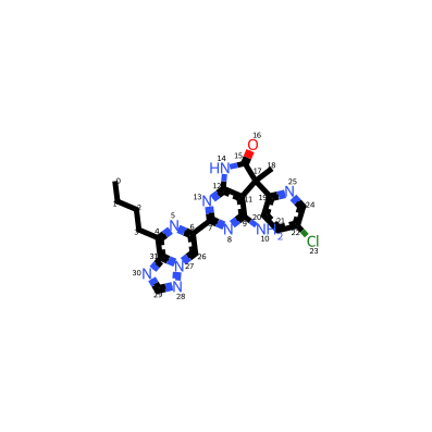 CCCCc1nc(-c2nc(N)c3c(n2)NC(=O)C3(C)c2ccc(Cl)cn2)cn2ncnc12